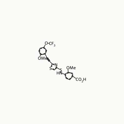 COc1ccc(OC(F)(F)F)cc1C#Cc1nc(SNc2ccc(C(=O)O)cc2OC)cs1